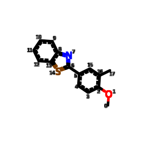 COc1ccc(-c2nc3ccccc3s2)cc1C